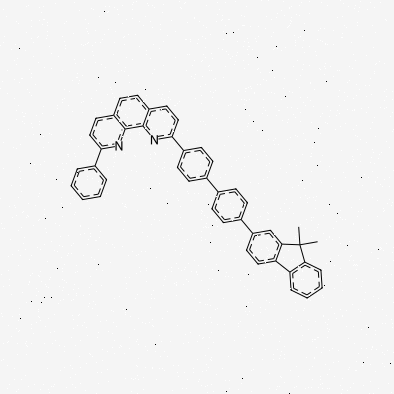 CC1(C)c2ccccc2-c2ccc(-c3ccc(-c4ccc(-c5ccc6ccc7ccc(-c8ccccc8)nc7c6n5)cc4)cc3)cc21